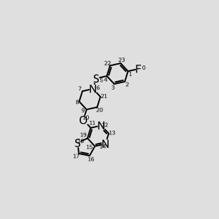 Fc1ccc(SN2CCC(Oc3ncnc4ccsc34)CC2)cc1